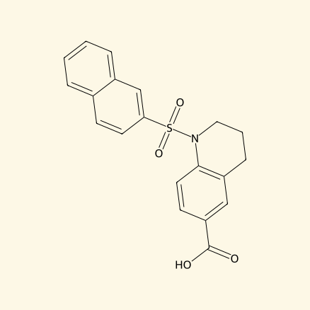 O=C(O)c1ccc2c(c1)CCCN2S(=O)(=O)c1ccc2ccccc2c1